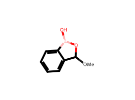 COC1OB(O)c2ccccc21